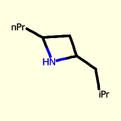 CCCC1CC(CC(C)C)N1